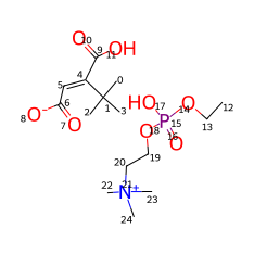 CC(C)(C)/C(=C\C(=O)[O-])C(=O)O.CCOP(=O)(O)OCC[N+](C)(C)C